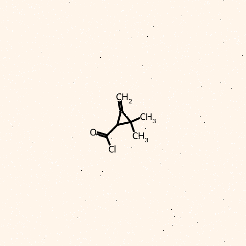 C=C1C(C(=O)Cl)C1(C)C